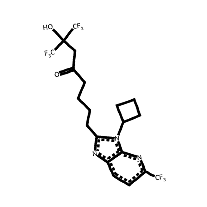 O=C(CCCCc1nc2ccc(C(F)(F)F)nc2n1C1CCC1)CC(O)(C(F)(F)F)C(F)(F)F